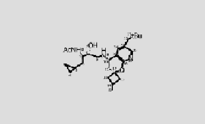 CC(=O)N[C@@H](CC1CC1)[C@H](O)CN[C@H]1C[C@]2(C[C@H](C)C2)Oc2ncc(CC(C)(C)C)cc21